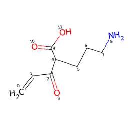 C=CC(=O)C(CCCN)C(=O)O